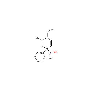 CCCC=C1C=CC(C(=O)OC)(c2ccccc2)C=C1CC